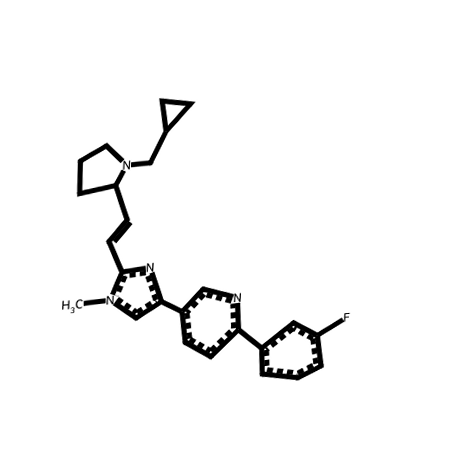 Cn1cc(-c2ccc(-c3cccc(F)c3)nc2)nc1C=CC1CCCN1CC1CC1